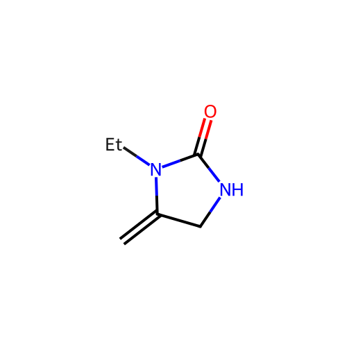 C=C1CNC(=O)N1CC